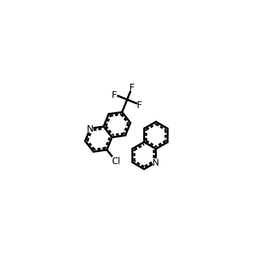 FC(F)(F)c1ccc2c(Cl)ccnc2c1.c1ccc2ncccc2c1